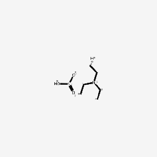 CCN(CC)CC.O=S([O-])O.[H+]